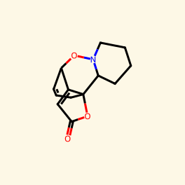 O=C1C=C2C3C=CCC2(O1)C1CCCCN1O3